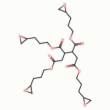 O=C(CC(C(=O)OCCCC1CO1)C(CC(=O)OCCCC1CO1)C(=O)OCCCC1CO1)OCCCC1CO1